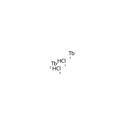 Cl.Cl.[Tb].[Tb]